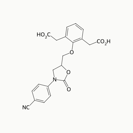 N#Cc1ccc(N2CC(COc3c(CC(=O)O)cccc3CC(=O)O)OC2=O)cc1